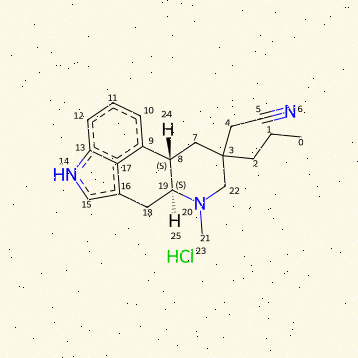 CCCC1(CC#N)C[C@H]2c3cccc4[nH]cc(c34)C[C@@H]2N(C)C1.Cl